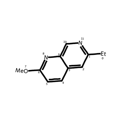 CCc1cc2ccc(OC)nc2cn1